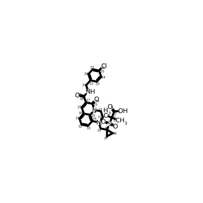 CC(C)(C(=O)O)S(=O)(=O)C1(CN2CCn3c(=O)c(C(=O)NCc4ccc(Cl)cc4)cc4cccc2c43)CC1